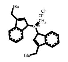 [CH2]=[Zr+2]([CH]1C=C(CC(C)(C)C)c2ccccc21)[CH]1C=C(CC(C)(C)C)c2ccccc21.[Cl-].[Cl-]